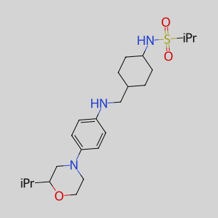 CC(C)C1CN(c2ccc(NCC3CCC(NS(=O)(=O)C(C)C)CC3)cc2)CCO1